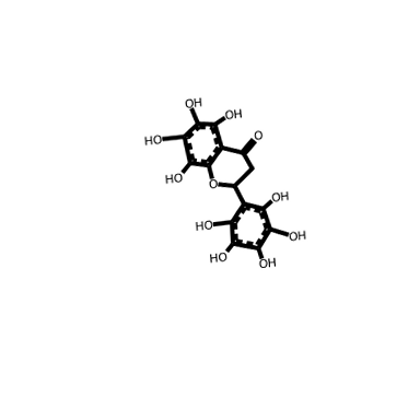 O=C1CC(c2c(O)c(O)c(O)c(O)c2O)Oc2c(O)c(O)c(O)c(O)c21